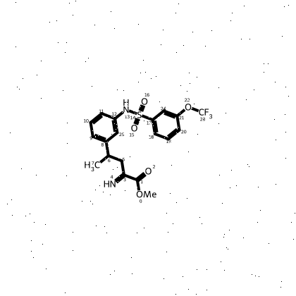 COC(=O)C(=N)CC(C)c1cccc(NS(=O)(=O)c2cccc(OC(F)(F)F)c2)c1